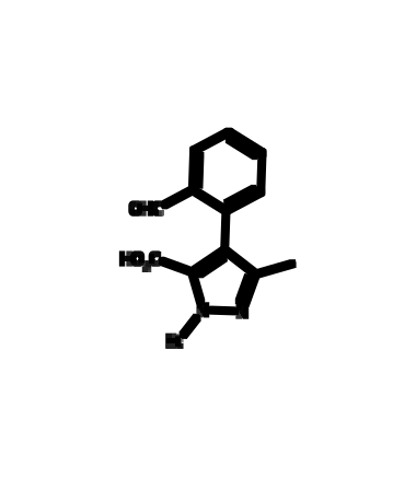 CCn1nc(C)c(-c2ccccc2C=O)c1C(=O)O